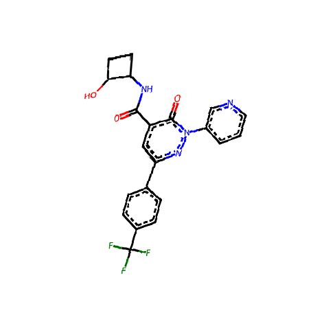 O=C(NC1CCC1O)c1cc(-c2ccc(C(F)(F)F)cc2)nn(-c2cccnc2)c1=O